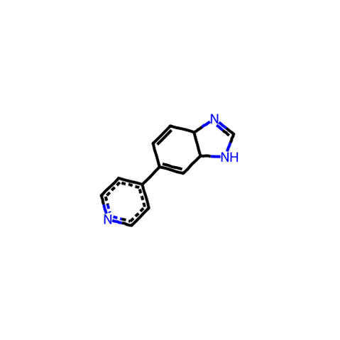 C1=CC2N=CNC2C=C1c1ccncc1